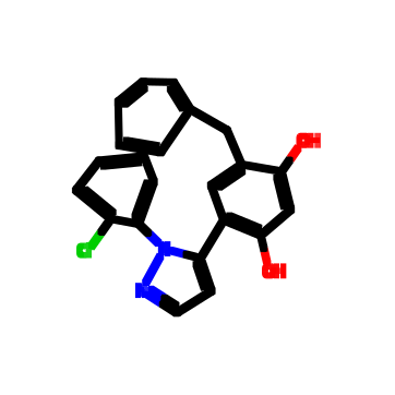 Oc1cc(O)c(-c2ccnn2-c2ccccc2Cl)cc1Cc1ccccc1